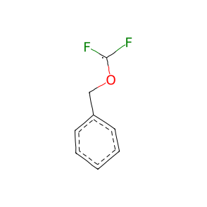 F[C](F)OCc1ccccc1